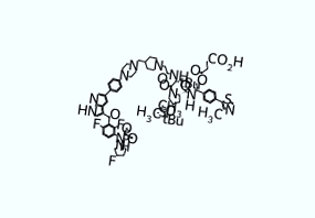 Cc1ncsc1-c1ccc([C@H](COC(=O)CCC(=O)O)NC(=O)[C@@H]2C[C@@H](O[Si](C)(C)C(C)(C)C)CN2C(=O)[C@@H](NC(=O)CN2CCC(CN3CCN(c4ccc(-c5cnc6[nH]cc(C(=O)c7c(F)ccc(N(N8CC[C@@H](F)C8)[SH](=O)=O)c7F)c6c5)cc4)CC3)CC2)C(C)(C)C)cc1